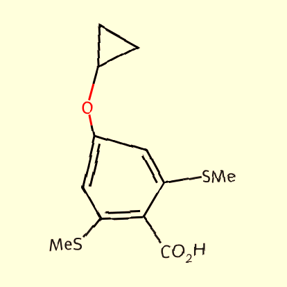 CSc1cc(OC2CC2)cc(SC)c1C(=O)O